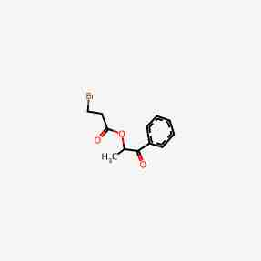 CC(OC(=O)CCBr)C(=O)c1ccccc1